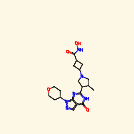 CC1CN(C2CC(C(=O)NO)C2)CC1c1nc2c(cnn2C2CCOCC2)c(=O)[nH]1